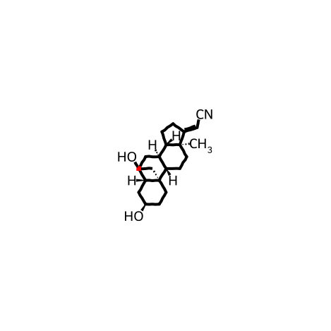 C[C@]12CC[C@H]3[C@@H](CC[C@H]4C[C@H](O)CC[C@@]43CCO)[C@@H]1CC/C2=C\C#N